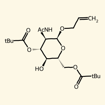 C=CCO[C@H]1O[C@H](COC(=O)C(C)(C)C)[C@@H](O)[C@H](OC(=O)C(C)(C)C)[C@H]1NC(C)=O